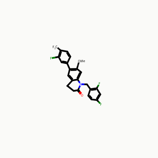 COc1cc2c(cc1-c1ccc(C(F)(F)F)c(F)c1)CCC(=O)N2Cc1ccc(F)cc1F